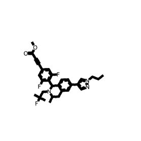 CCCn1cc(-c2ccc3c(c2)CC(C)N(CC(C)(C)F)C3c2c(F)cc(C#CC(=O)OC)cc2F)cn1